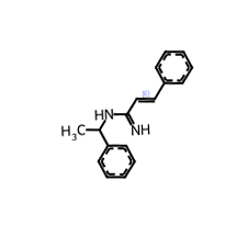 CC(NC(=N)/C=C/c1ccccc1)c1ccccc1